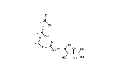 CC(=O)O.CC(=O)O.CC(=O)O.CC(=O)O.OC(N(O)O)C(O)(O)N(O)O